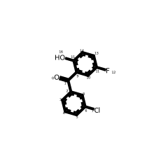 O=C(c1cccc(Cl)c1)c1cc(F)ccc1O